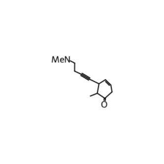 CNCCC#CC1C=CCC(=O)C1C